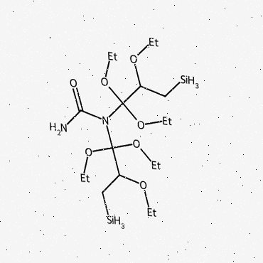 CCOC(C[SiH3])C(OCC)(OCC)N(C(N)=O)C(OCC)(OCC)C(C[SiH3])OCC